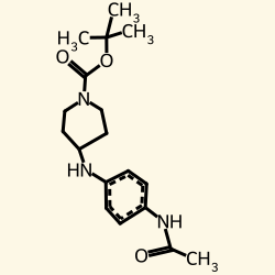 CC(=O)Nc1ccc(NC2CCN(C(=O)OC(C)(C)C)CC2)cc1